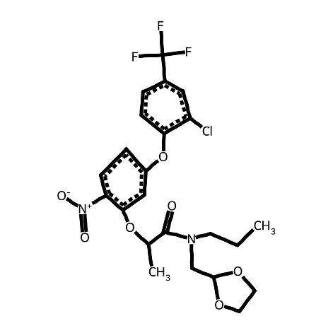 CCCN(CC1OCCO1)C(=O)C(C)Oc1cc(Oc2ccc(C(F)(F)F)cc2Cl)ccc1[N+](=O)[O-]